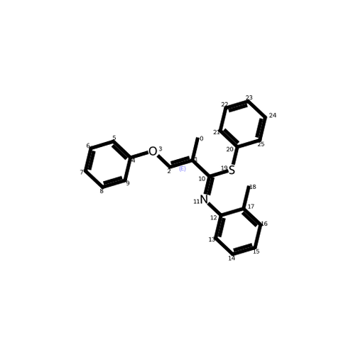 C/C(=C\Oc1ccccc1)C(=Nc1ccccc1C)Sc1ccccc1